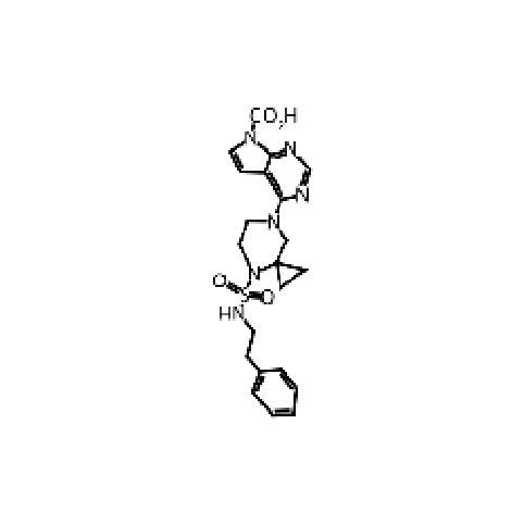 O=C(O)n1ccc2c(N3CCN(S(=O)(=O)NCCc4ccccc4)C4(CC4)C3)ncnc21